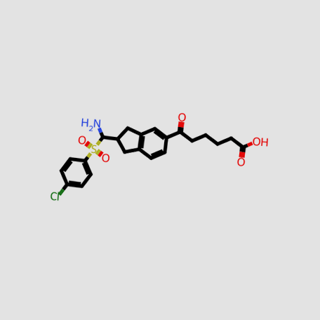 NC(C1Cc2ccc(C(=O)CCCCC(=O)O)cc2C1)S(=O)(=O)c1ccc(Cl)cc1